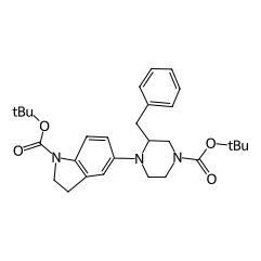 CC(C)(C)OC(=O)N1CCN(c2ccc3c(c2)CCN3C(=O)OC(C)(C)C)C(Cc2ccccc2)C1